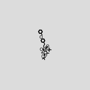 CC(C)CC(C(=O)N(CCc1ccc(OCc2ccccc2)cc1)C(=O)NC(C)(C)C)N(C)C(=O)OC(C)(C)C